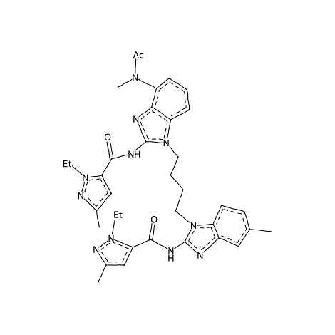 CCn1nc(C)cc1C(=O)Nc1nc2cc(C)ccc2n1CCCCn1c(NC(=O)c2cc(C)nn2CC)nc2c(N(C)C(C)=O)cccc21